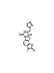 Cn1c(=O)oc2c3c(ccc21)N1C(=O)O[C@@H](Cn2ccnn2)[C@@H]1C3